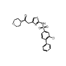 O=C(Cc1csc(NS(=O)(=O)c2ccc(-c3ccccc3)c(Cl)c2)n1)N1CCOCC1